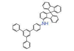 c1ccc(-c2cc(-c3ccccc3)cc(-c3ccc(Nc4cccc5c4-c4ccccc4C54c5ccccc5-c5ccccc54)cc3)c2)cc1